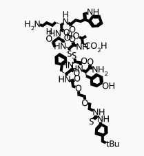 CC(O)[C@H](NC(=O)[C@@H](NC(=O)[C@@H](NC(=O)[C@H](CCCCN)NC(=O)CCc1c[nH]c2ccccc12)C(C)O)SS[C@H](NC(=O)[C@@H](Cc1ccccc1)NC(=O)COCCOCCNC(=S)Nc1ccc(CC(C)(C)C)cc1)C(=O)N[C@@H](Cc1ccc(O)cc1)C(N)=O)C(=O)O